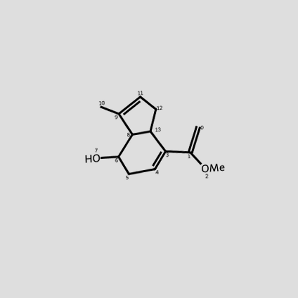 C=C(OC)C1=CCC(O)C2C(C)=CCC12